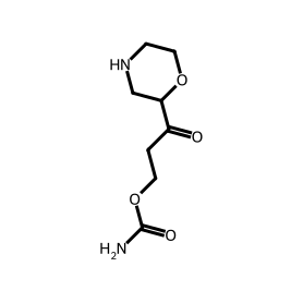 NC(=O)OCCC(=O)C1CNCCO1